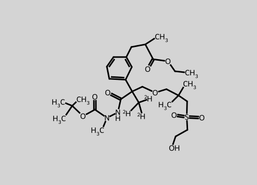 [2H]C([2H])([2H])C(COCC(C)(C)CS(=O)(=O)CCO)(C(=O)NN(C)C(=O)OC(C)(C)C)c1cccc(CC(C)C(=O)OCC)c1